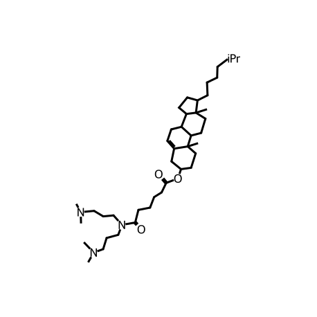 CC(C)CCCCC1CCC2C3CC=C4CC(OC(=O)CCCCC(=O)N(CCCN(C)C)CCCN(C)C)CCC4(C)C3CCC12C